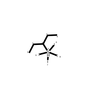 CCC(CC)[SH](I)(I)(I)I